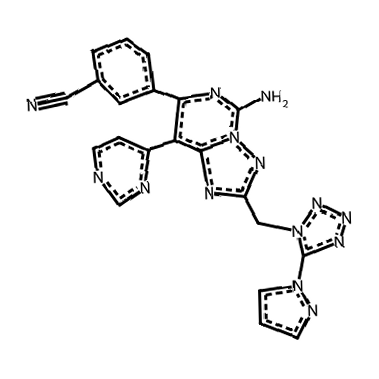 N#Cc1cccc(-c2nc(N)n3nc(Cn4nnnc4-n4cccn4)nc3c2-c2ccncn2)c1